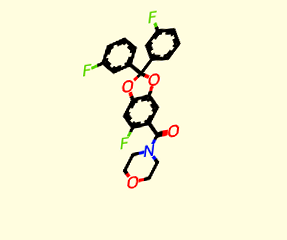 O=C(c1cc2c(cc1F)OC(c1cccc(F)c1)(c1cccc(F)c1)O2)N1CCOCC1